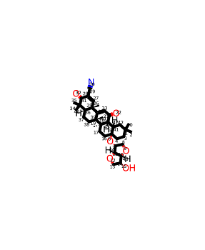 CC1(C)CC[C@]2(O[C@@H]3CO[C@H]4[C@@H]3OC[C@H]4O)CC[C@]3(C)[C@H](C(=O)C=C4[C@@]5(C)C=C(C#N)C(=O)C(C)(C)[C@@H]5CC[C@]43C)[C@@H]2C1